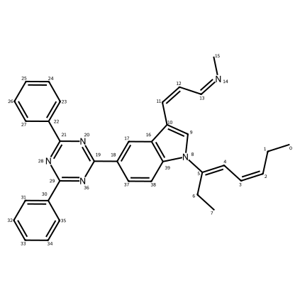 CC/C=C\C=C(/CC)n1cc(/C=C\C=N/C)c2cc(-c3nc(-c4ccccc4)nc(-c4ccccc4)n3)ccc21